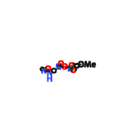 COc1cc(C)c(S(=O)(=O)N(C)CCOCC(=O)N(C)C[C@H]2CC[C@@H](NC(=O)CN3CCCC3)CC2)c(C)c1